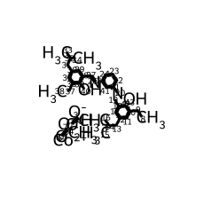 CC(=O)[O-].CC(=O)[O-].CCc1cc(CC(C)C)cc(C=Nc2cccc(N=Cc3cc(CC(C)C)cc(CC)c3O)c2)c1O.[Co+2]